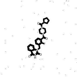 O=C(c1cccc(Cn2c(=O)[nH]c(=O)c3ccccc32)c1F)N1CCN(C(=O)C2CCCC2)CC1